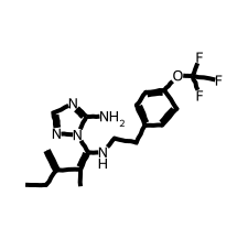 C=C(CC)/C(C)=C(/NCCc1ccc(OC(F)(F)F)cc1)n1ncnc1N